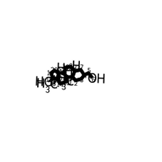 C[C@]12CCC(CO)C[C@@H]1CC[C@@H]1[C@@H]2CC[C@]2(C)[C@@H](O)CC[C@@H]12